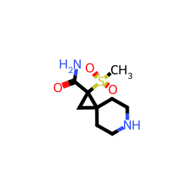 CS(=O)(=O)C1(C(N)=O)CC12CCNCC2